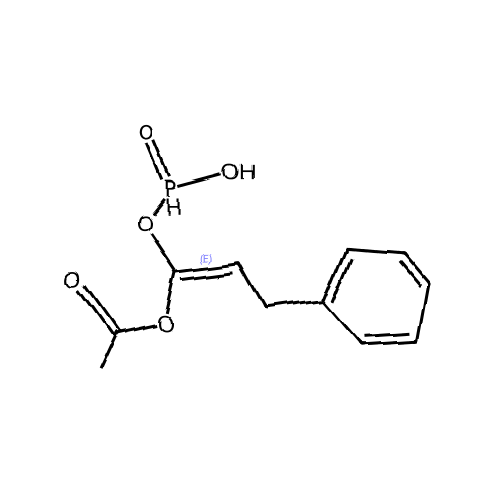 CC(=O)O/C(=C\Cc1ccccc1)O[PH](=O)O